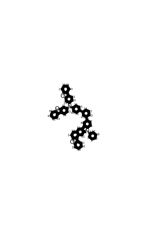 c1ccc(-n2c3ccc(-c4cccc(-c5ccc(N(c6ccc7c(c6)oc6ccccc67)c6ccc7c(c6)oc6ccccc67)cc5)c4)cc3c3cc4ccc5oc6ccccc6c5c4cc32)cc1